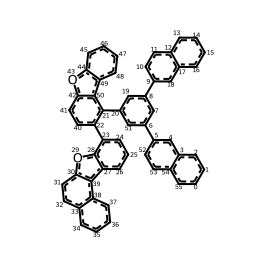 c1ccc2cc(-c3cc(-c4ccc5ccccc5c4)cc(-c4c(-c5cccc6c5oc5ccc7ccccc7c56)ccc5oc6ccccc6c45)c3)ccc2c1